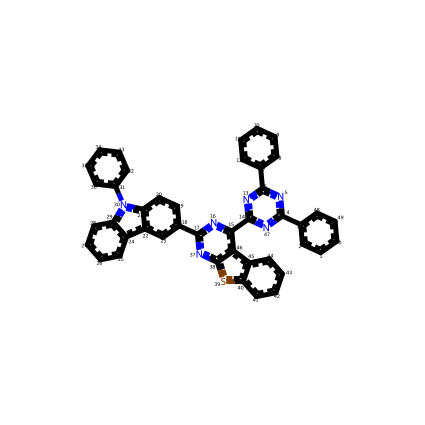 c1ccc(-c2nc(-c3ccccc3)nc(-c3nc(-c4ccc5c(c4)c4ccccc4n5-c4ccccc4)nc4sc5ccccc5c34)n2)cc1